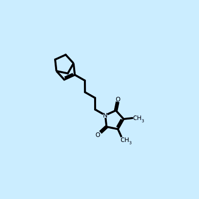 CC1=C(C)C(=O)N(CCCCC2=CC3CCC2C3)C1=O